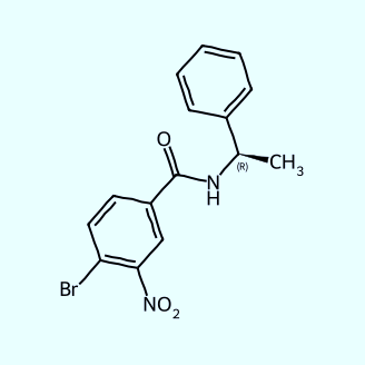 C[C@@H](NC(=O)c1ccc(Br)c([N+](=O)[O-])c1)c1ccccc1